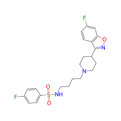 O=S(=O)(NCCCCN1CCC(c2noc3cc(F)ccc23)CC1)c1ccc(F)cc1